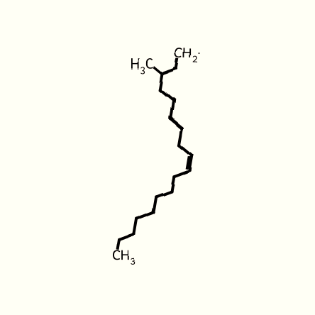 [CH2]CC(C)CCCCC/C=C\CCCCCCCC